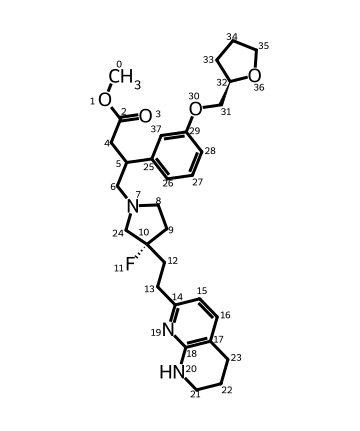 COC(=O)CC(CN1CC[C@@](F)(CCc2ccc3c(n2)NCCC3)C1)c1cccc(OC[C@H]2CCCO2)c1